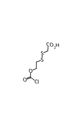 O=C(O)CSSCCOC(=O)Cl